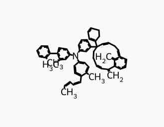 C=C1/C=C\CCC(C2=CC=CCC2)(c2cccc(N(C3=CC=C(C)C(/C=C\C=C/C)=C=C3)c3ccc(-c4ccccc4C)c(C)c3)c2)C=CC/C=c2/cccc1c2=C